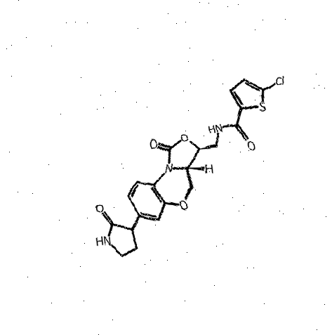 O=C(NC[C@@H]1OC(=O)N2c3ccc(C4CCNC4=O)cc3OC[C@@H]12)c1ccc(Cl)s1